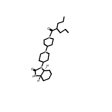 CCCC(CCC)C(=O)N1CCC(N2CCC(N3C(=O)N[C@H]4CCCC[C@@H]43)CC2)CC1